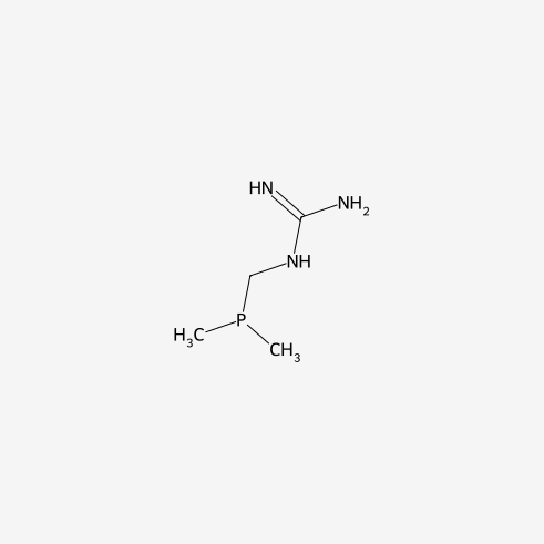 CP(C)CNC(=N)N